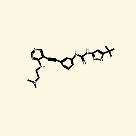 CN(C)CCNc1ncncc1C#Cc1cccc(NC(=O)Nc2cc(C(C)(C)C)on2)c1